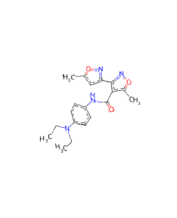 CCN(CC)c1ccc(NC(=O)c2c(-c3cc(C)on3)noc2C)cc1